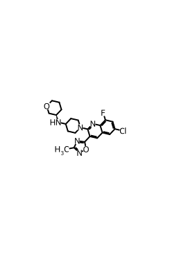 Cc1noc(-c2cc3cc(Cl)cc(F)c3nc2N2CCC(N[C@@H]3CCCOC3)CC2)n1